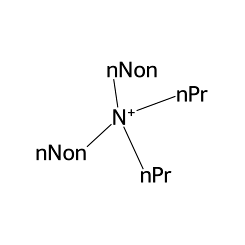 CCCCCCCCC[N+](CCC)(CCC)CCCCCCCCC